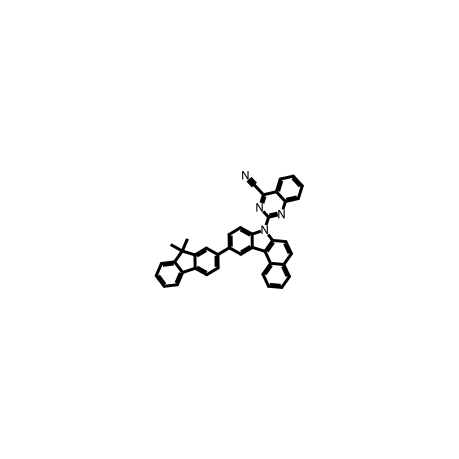 CC1(C)c2ccccc2-c2ccc(-c3ccc4c(c3)c3c5ccccc5ccc3n4-c3nc(C#N)c4ccccc4n3)cc21